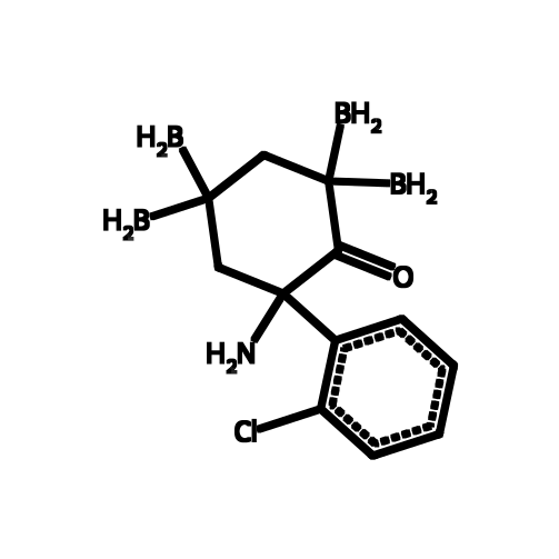 BC1(B)CC(B)(B)C(=O)C(N)(c2ccccc2Cl)C1